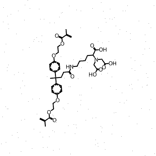 C=C(C)C(=O)OCCOc1ccc(C(C)(CCC(=O)NCCCCC(C(=O)O)N(CC(=O)O)CC(=O)O)c2ccc(OCCOC(=O)C(=C)C)cc2)cc1